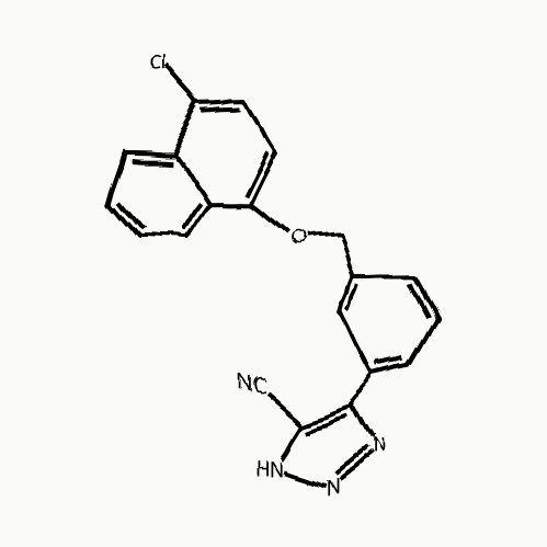 N#Cc1[nH]nnc1-c1cccc(COc2ccc(Cl)c3ccccc23)c1